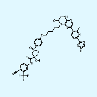 Cc1nc(-c2nc[nH]n2)ccc1-c1cnc2c(n1)N(CCCCCOc1ccc(S(=O)(=O)C[C@](C)(O)C(=O)Nc3ccc(C#N)c(C(F)(F)F)c3)cc1)C(=O)CN2